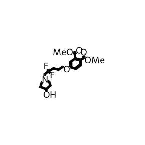 COC(=O)c1ccc(OCCCC(F)(F)CN2CCC(O)CC2)cc1C(=O)OC